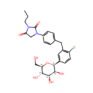 CCCN1C(=O)CN(c2ccc(Cc3cc([C@@H]4O[C@H](CO)[C@@H](O)[C@H](O)[C@@H]4O)ccc3Cl)cc2)C1=O